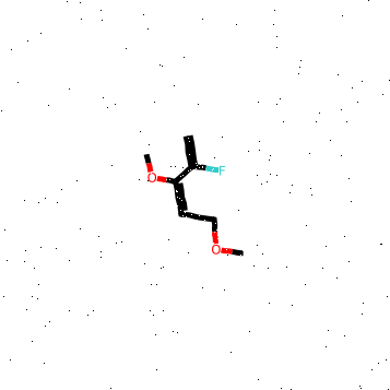 C=C(F)/C(=C\COC)OC